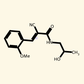 COc1ccccc1/C=C(\C#N)C(=O)NCC(C)O